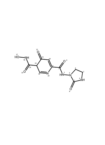 O=C(NN1CCNC1=O)C1=CC(=O)C(C(=O)NO)C=N1